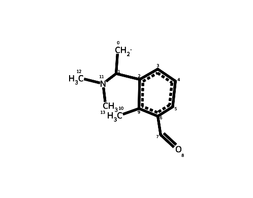 [CH2]C(c1cccc(C=O)c1C)N(C)C